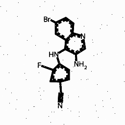 N#Cc1ccc(Nc2c(N)cnc3ccc(Br)cc23)c(F)c1